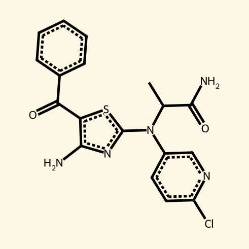 CC(C(N)=O)N(c1ccc(Cl)nc1)c1nc(N)c(C(=O)c2ccccc2)s1